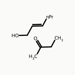 CCC(C)=O.CCC/C=C/CO